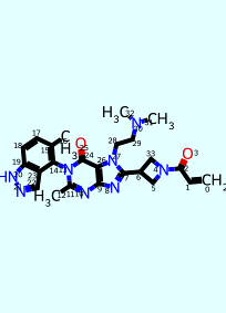 C=CC(=O)N1CC(c2nc3nc(C)n(-c4c(C)ccc5[nH]ncc45)c(=O)c3n2CCN(C)C)C1